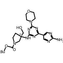 CC(C)(C)OC(=O)N1CC[C@](CO)(Nc2nc(-c3cnc(N)nc3)nc(N3CCOCC3)n2)C1